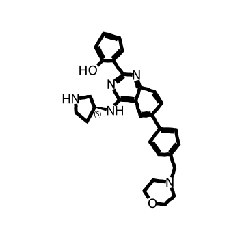 Oc1ccccc1-c1nc(N[C@H]2CCNC2)c2cc(-c3ccc(CN4CCOCC4)cc3)ccc2n1